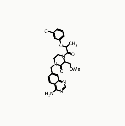 COCC1C(=O)N(Cc2ccc3c(N)ncnc3c2)CCN1C(=O)C(C)Oc1cccc(Cl)c1